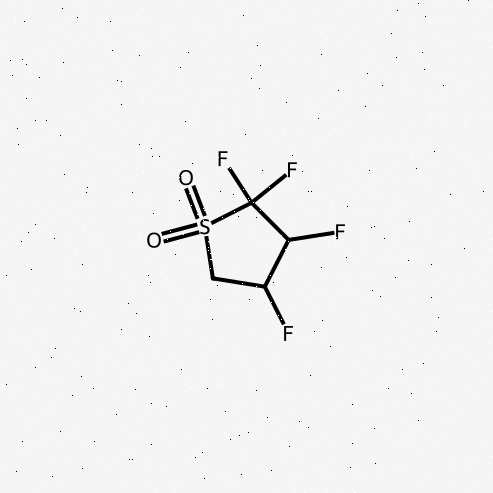 O=S1(=O)CC(F)C(F)C1(F)F